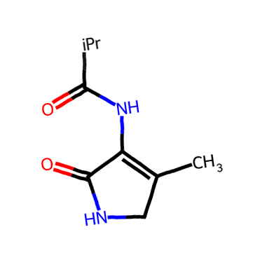 CC1=C(NC(=O)C(C)C)C(=O)NC1